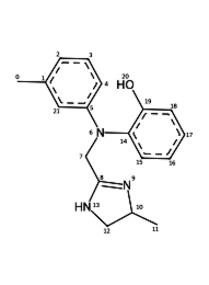 Cc1cccc(N(CC2=NC(C)CN2)c2ccccc2O)c1